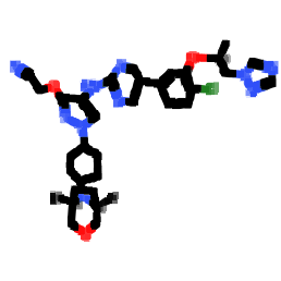 C[C@@H](Cn1cncn1)Oc1cc(-c2cnc(Nc3cn(C4CCC(N5[C@@H]6CC[C@H]5COC6)CC4)nc3OCC#N)nc2)ccc1Cl